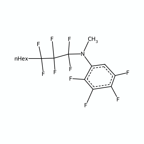 CCCCCCC(F)(F)C(F)(F)C(F)(F)N(C)c1cc(F)c(F)c(F)c1F